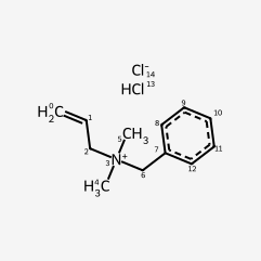 C=CC[N+](C)(C)Cc1ccccc1.Cl.[Cl-]